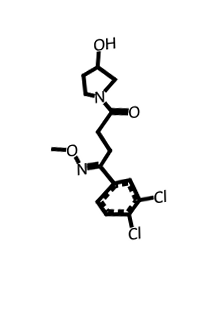 CON=C(CCC(=O)N1CCC(O)C1)c1ccc(Cl)c(Cl)c1